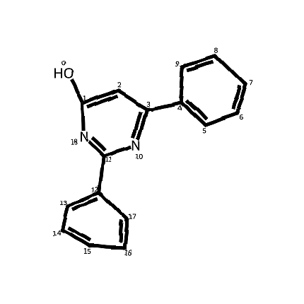 Oc1cc(-c2ccccc2)nc(-c2ccccc2)n1